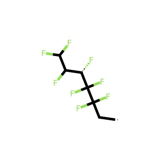 [CH2]CC(F)(F)C(F)(F)[C@@H](F)C(F)C(F)F